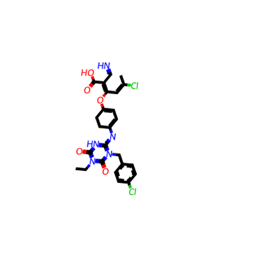 CCn1c(=O)[nH]/c(=N\C2=CC=C(OC(/C=C(\C)Cl)=C(/C=N)C(=O)O)CC2)n(Cc2ccc(Cl)cc2)c1=O